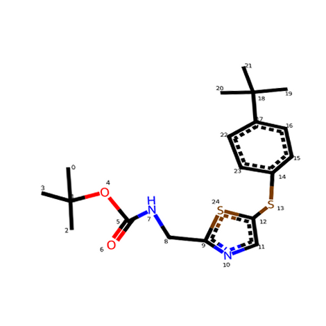 CC(C)(C)OC(=O)NCc1ncc(Sc2ccc(C(C)(C)C)cc2)s1